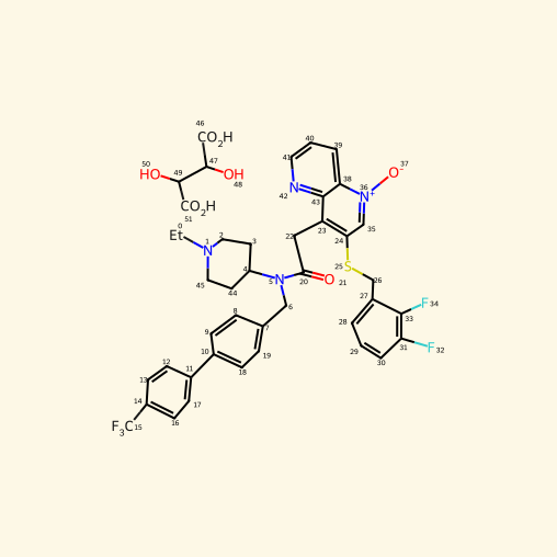 CCN1CCC(N(Cc2ccc(-c3ccc(C(F)(F)F)cc3)cc2)C(=O)Cc2c(SCc3cccc(F)c3F)c[n+]([O-])c3cccnc23)CC1.O=C(O)C(O)C(O)C(=O)O